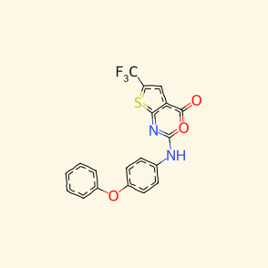 O=c1oc(Nc2ccc(Oc3ccccc3)cc2)nc2sc(C(F)(F)F)cc12